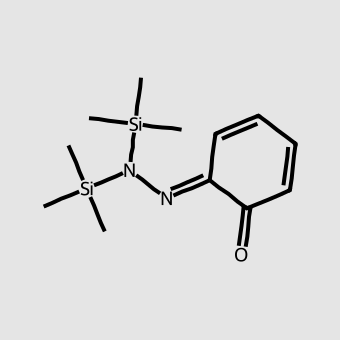 C[Si](C)(C)N(N=C1C=CC=CC1=O)[Si](C)(C)C